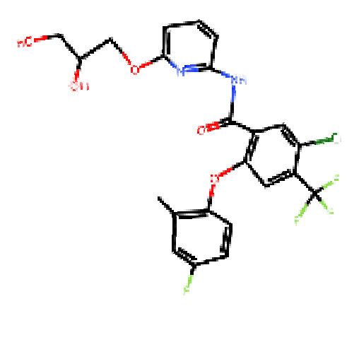 Cc1cc(F)ccc1Oc1cc(C(F)(F)F)c(Cl)cc1C(=O)Nc1cccc(OCC(O)CO)n1